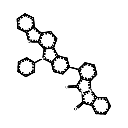 O=c1c2ccccc2n2c3cccc(-c4ccc5c(c4)c4ccc6c7ccccc7oc6c4n5-c4ccccc4)c3c(=O)n12